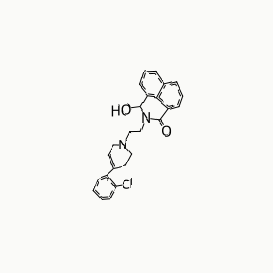 O=C1c2cccc3cccc(c23)C(O)N1CCN1CC=C(c2ccccc2Cl)CC1